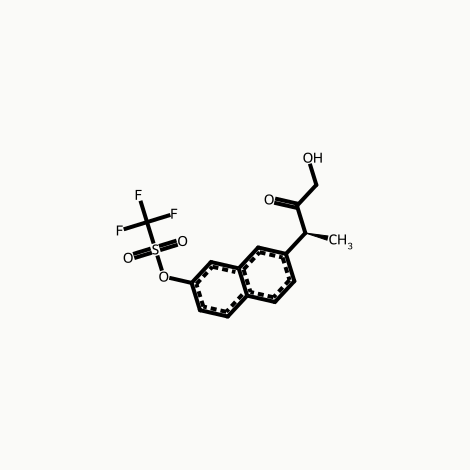 C[C@H](C(=O)CO)c1ccc2ccc(OS(=O)(=O)C(F)(F)F)cc2c1